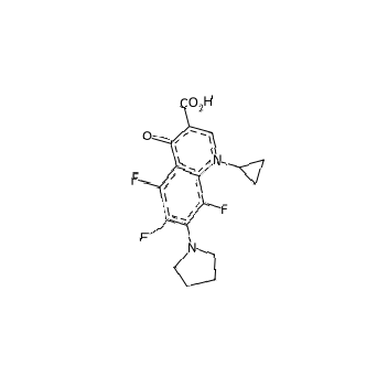 O=C(O)c1cn(C2CC2)c2c(F)c(N3CCCC3)c(F)c(F)c2c1=O